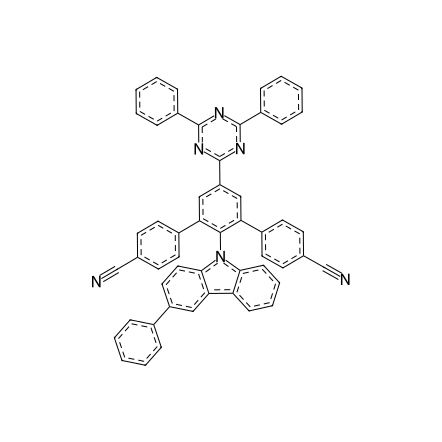 N#Cc1ccc(-c2cc(-c3nc(-c4ccccc4)nc(-c4ccccc4)n3)cc(-c3ccc(C#N)cc3)c2-n2c3ccccc3c3cc(-c4ccccc4)ccc32)cc1